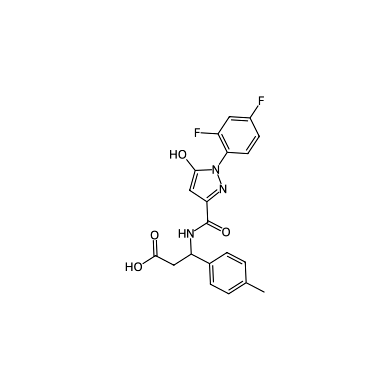 Cc1ccc(C(CC(=O)O)NC(=O)c2cc(O)n(-c3ccc(F)cc3F)n2)cc1